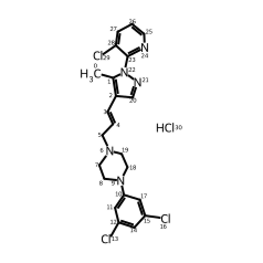 Cc1c(C=CCN2CCN(c3cc(Cl)cc(Cl)c3)CC2)cnn1-c1ncccc1Cl.Cl